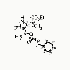 C=C(C(=O)OCC)[C@H]1NC(=O)[C@@H]1C(C)OC(=O)OCc1ccccc1